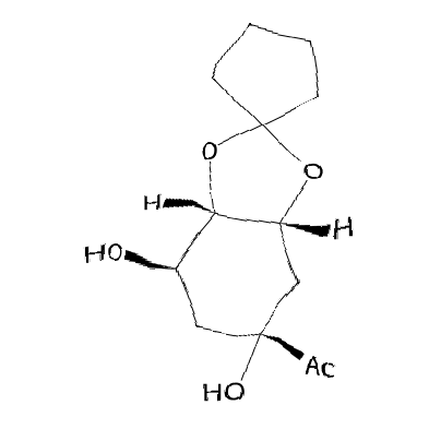 CC(=O)[C@@]1(O)C[C@@H](O)[C@@H]2OC3(CCCC3)O[C@@H]2C1